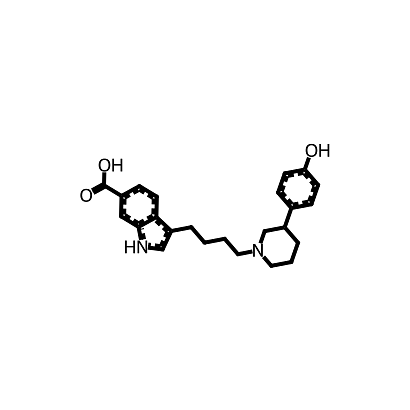 O=C(O)c1ccc2c(CCCCN3CCCC(c4ccc(O)cc4)C3)c[nH]c2c1